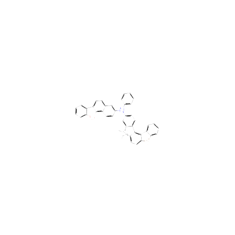 C[Si]1(C)c2cc(N(c3ccccc3)c3ccc4c(ccc5c6ccccc6oc45)c3)ccc2-c2c1ccc1sc3ccccc3c21